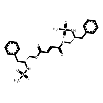 CS(=O)(=O)N[C@@H](COC(=O)/C=C/C(=O)OC[C@@H](Cc1ccccc1)NS(C)(=O)=O)Cc1ccccc1